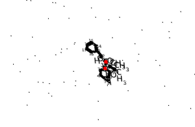 CC1(C)OB(C23CCN(C(=O)OCc4ccccc4)CC2C3)OC1(C)C